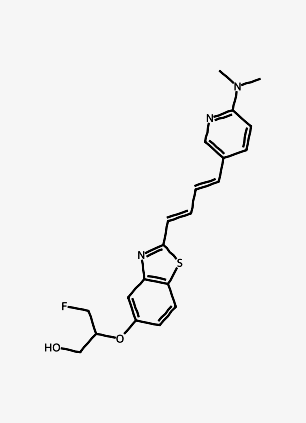 CN(C)c1ccc(/C=C/C=C/c2nc3cc(OC(CO)CF)ccc3s2)cn1